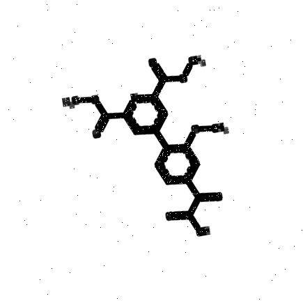 COC(=O)c1cc(-c2ccc(C(=O)C(=O)O)cc2OC)cc(C(=O)OC)n1